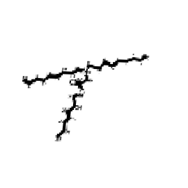 CCCCCCCCCN(CCCCCCCCC)CC(=O)OCCCCCCC